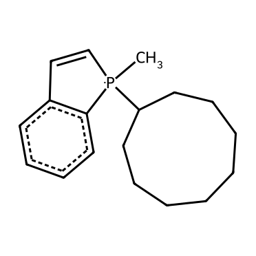 C[P]1(C2CCCCCCCC2)C=Cc2ccccc21